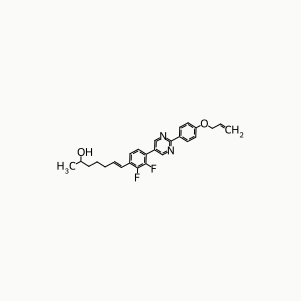 C=CCOc1ccc(-c2ncc(-c3ccc(C=CCCCC(C)O)c(F)c3F)cn2)cc1